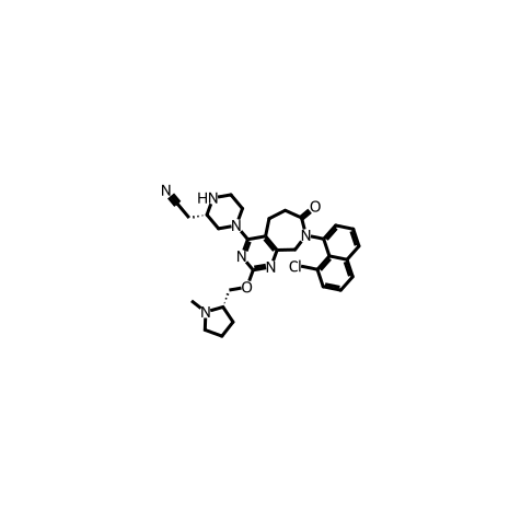 CN1CCC[C@H]1COc1nc2c(c(N3CCN[C@@H](CC#N)C3)n1)CCC(=O)N(c1cccc3cccc(Cl)c13)C2